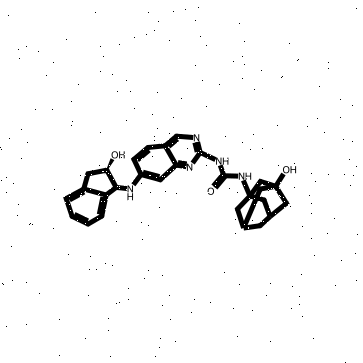 O=C(Nc1ncc2ccc(NC3c4ccccc4C[C@H]3O)cc2n1)NC12CC3CC(CC(O)(C3)C1)C2